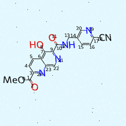 COC(=O)c1ccc2c(O)c(C(=O)NCc3ccc(C#N)nc3)ncc2n1